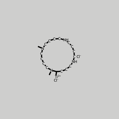 CN1CCCCNCCCCNCCC[CH]([Ti+2])N(C)CCCC1.[Cl-].[Cl-]